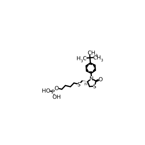 CC(C)(C)c1ccc(N2C(=O)SC[C@@H]2CSCCCCOP(O)O)cc1